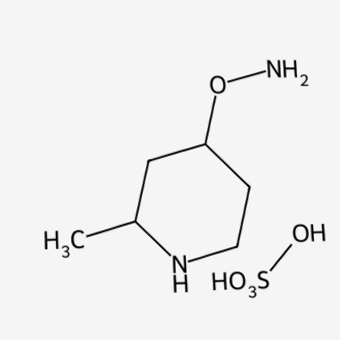 CC1CC(ON)CCN1.O=S(=O)(O)O